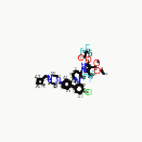 CCOC(=O)c1c(OC(=O)C(F)(F)F)nn(C2CCCN(c3cc(Cl)ccc3-c3ccc(N4CCN(CC5CCC5)CC4)cc3)C2)c1C(F)(F)F